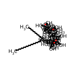 CCCCCCCCCCCCC/C=C/[C@@H](O)[C@H](CO[C@@H]1OC(CO)[C@@H](O[C@@H]2OC(CO)[C@H](O)[C@H](O[C@@H]3OC(CO)[C@@H](O[C@@H]4OC(CO)[C@H](O)[C@H](O[C@@H]5OC(CO)[C@@H](O[C@H]6OC(C)[C@@H](O)C(O)[C@@H]6O)[C@H](O[C@@H]6OC(CO)[C@H](O)[C@H](O[C@]7(C(=O)O)CC(O)[C@@H](NC(C)=O)C([C@H](O)[C@H](O)CO)O7)C6O)C5NC(C)=O)C4O)[C@H](O)C3NC(C)=O)C2O)[C@H](O)C1O)NC(=O)CCCCCCCCCCCCCCCCCCCCC